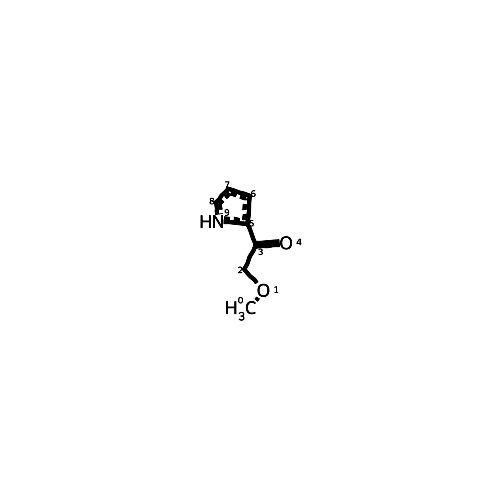 COCC(=O)c1ccc[nH]1